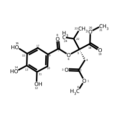 COC(=O)C[C@@](OC(=O)c1cc(O)c(O)c(O)c1)(C(=O)OC)C(C)C